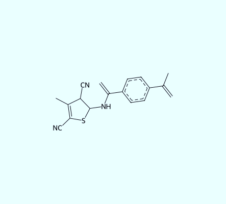 C=C(C)c1ccc(C(=C)NC2SC(C#N)=C(C)C2C#N)cc1